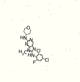 Cn1c(Nc2c(F)cc(Cl)cc2Cl)nc2cnc(NC3CCOCC3)nc21